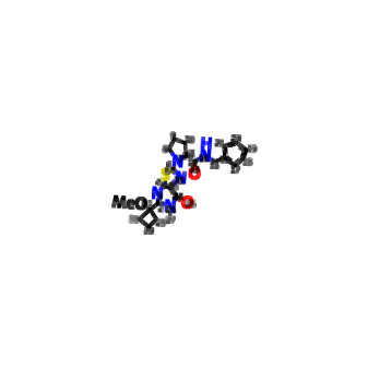 COC1(c2nc3sc(N4CCC[C@@H]4C(=O)NCc4ccccc4)nc3c(=O)n2C)CCC1